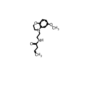 C=CCC(=O)NCCN1CCOc2ccc(OC)cc21